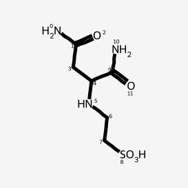 NC(=O)CC(NCCS(=O)(=O)O)C(N)=O